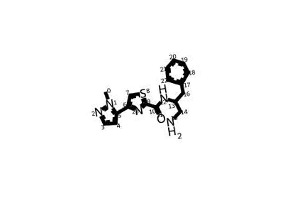 Cn1nccc1-c1csc(C(=O)NC(CN)Cc2ccccc2)n1